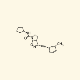 Cc1cccc(C#CC2=NOC3C2CCN3C(=O)NC2CCCC2)c1